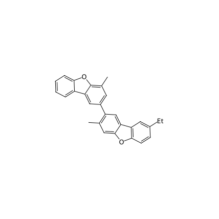 CCc1ccc2oc3cc(C)c(-c4cc(C)c5oc6ccccc6c5c4)cc3c2c1